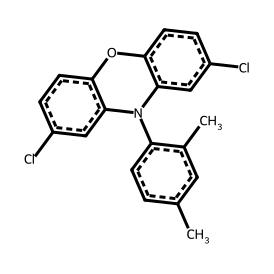 Cc1ccc(N2c3cc(Cl)ccc3Oc3ccc(Cl)cc32)c(C)c1